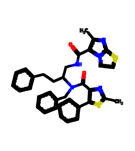 Cc1nc(C(=O)N(Cc2ccccc2)C(CCc2ccccc2)CNC(=O)c2c(C)nc3sccn23)c(-c2ccccc2)s1